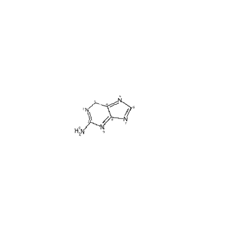 NC1=NCC2=NC=NC2=N1